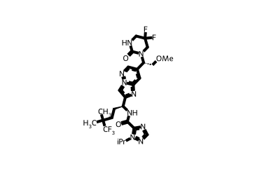 COC[C@H](c1cnn2cc([C@H](CCC(C)(C)C(F)(F)F)NC(=O)c3ncnn3C(C)C)nc2c1)N1CC(F)(F)CNC1=O